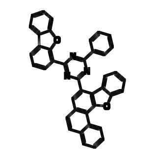 c1ccc(-c2nc(-c3cccc4c3oc3ccccc34)nc(-c3cc4ccc5ccccc5c4c4oc5ccccc5c34)n2)cc1